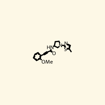 COc1ccccc1C#CC(=O)NC1CCN(c2ncc(C)s2)C1